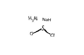 ClSCl.[AlH3].[NaH]